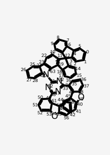 c1ccc2c(c1)-c1ccccc1C21c2ccccc2-c2c1ccc1c3ccccc3n(-c3nc(-c4cccc5oc6ccccc6c45)nc(-c4cccc5oc6ccccc6c45)n3)c21